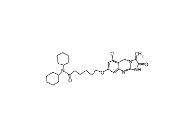 C=c1c(=O)[nH]c2n1Cc1c(Cl)cc(OCCCCCC(=O)N(C3CCCCC3)C3CCCCC3)cc1N=2